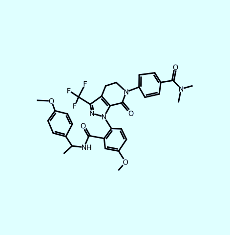 COc1ccc(C(C)NC(=O)c2cc(OC)ccc2-n2nc(C(F)(F)F)c3c2C(=O)N(c2ccc(C(=O)N(C)C)cc2)CC3)cc1